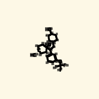 Cl.OC1CCN(CC(c2cccc(OC(F)(F)F)c2)C2(O)CCCCC2)CC1